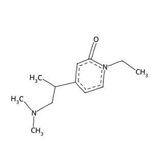 CCn1ccc(C(C)CN(C)C)cc1=O